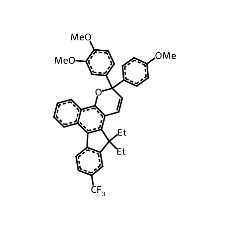 CCC1(CC)c2cc(C(F)(F)F)ccc2-c2c1c1c(c3ccccc23)OC(c2ccc(OC)cc2)(c2ccc(OC)c(OC)c2)C=C1